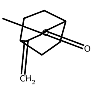 C=C1OC(=O)C2CCC1CC2